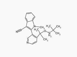 Cn1c(-c2cnccc2C(C)(C)O[SiH2]C(C)(C)C)c(C#N)c2ccccc21